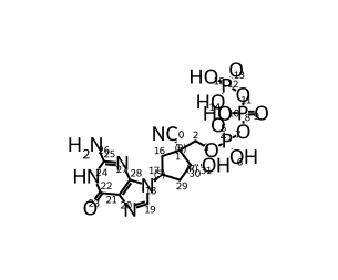 N#C[C@@]1(COP(=O)(O)OP(=O)(O)OP(=O)(O)O)C[C@H](n2cnc3c(=O)[nH]c(N)nc32)C[C@H]1O